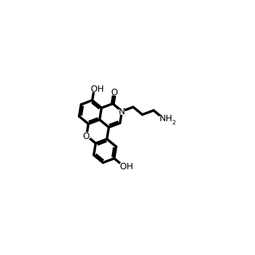 NCCCn1cc2c3c(ccc(O)c3c1=O)Oc1ccc(O)cc1-2